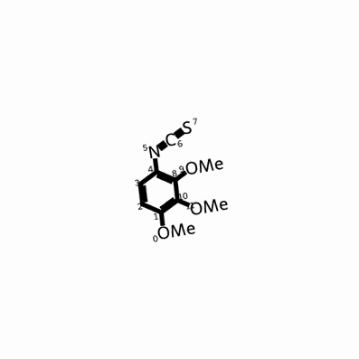 COc1ccc(N=C=S)c(OC)c1OC